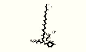 CCCCCCCCCCCCCCCC[N+](CCCC)(CCCC)Cc1ccccc1.[Cl-]